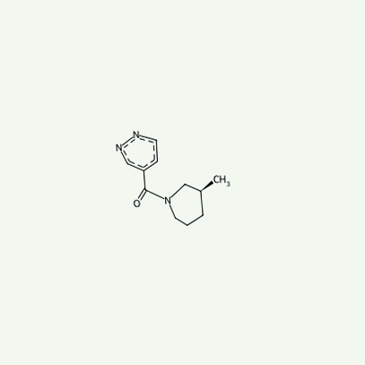 C[C@H]1CCCN(C(=O)c2ccnnc2)C1